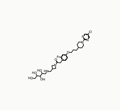 O=C(Cc1ccc(OCCCC2CCN(c3ncc(Cl)cn3)CC2)cc1F)N1CC(CNCC(O)C(O)C(O)CO)C1